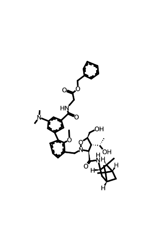 COc1c(CN2O[C@@H](CO)[C@H]([C@H](C)O)[C@H]2C(=O)N[C@H]2C[C@H]3C[C@@H]([C@@H]2C)C3(C)C)cccc1-c1cc(C(=O)NCC(=O)OCc2ccccc2)cc(N(C)C)c1